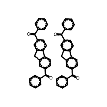 O=C(c1ccccc1)c1ccc2c(c1)Cc1cc(C(=O)c3ccccc3)ccc1-2.O=C(c1ccccc1)c1ccc2c(c1)Cc1cc(C(=O)c3ccccc3)ccc1-2